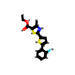 CCOC(=O)c1sc(-c2ccc(-c3ccccc3F)s2)nc1C